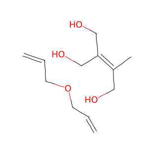 C=CCOCC=C.CC(CO)=C(CO)CO